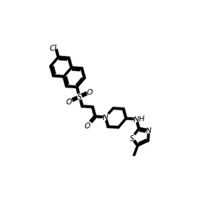 Cc1cnc(NC2CCN(C(=O)CCS(=O)(=O)c3ccc4cc(Cl)ccc4c3)CC2)s1